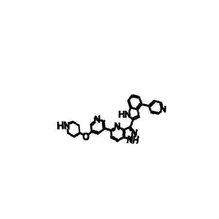 c1cc(-c2ccncc2)c2cc(-c3n[nH]c4ccc(-c5cncc(OC6CCNCC6)c5)nc34)[nH]c2c1